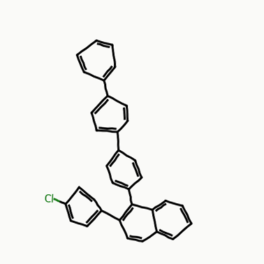 Clc1ccc(-c2ccc3ccccc3c2-c2ccc(-c3ccc(-c4ccccc4)cc3)cc2)cc1